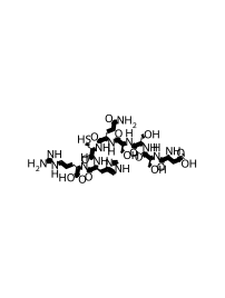 N=C(N)NCCC[C@H](NC(=O)[C@H](Cc1c[nH]cn1)NC(=O)[C@H](CS)NC(=O)[C@H](CCC(N)=O)NC(=O)[C@H](CO)NC(=O)[C@H](CO)NC(=O)[C@H](CO)NC(=O)[C@@H](N)CC(=O)O)C(=O)O